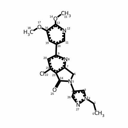 CCn1cc(N2Cc3nc(-c4cnc(OC)c(OC)c4)cc(Cl)c3C2=O)cn1